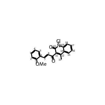 COc1ccccc1C=CC(=O)c1c(C)c2ccccc2n(Cl)c1=O